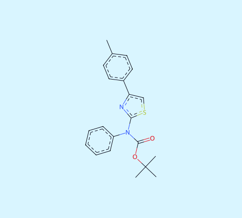 Cc1ccc(-c2csc(N(C(=O)OC(C)(C)C)c3ccccc3)n2)cc1